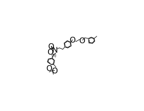 Cc1cccc(COCCOc2ccc(CCN3C[C@@H](c4ccc5c(c4)COC(C)(C)O5)OC3=O)cc2)c1